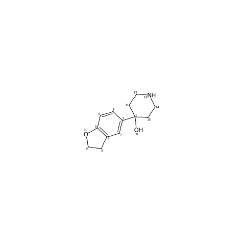 OC1(c2ccc3c(c2)CCO3)CCNCC1